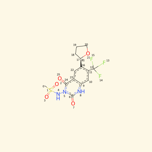 CS(=O)(=O)Nn1c(=O)[nH]c2cc(C(F)(F)F)c([C@H]3CCCO3)cc2c1=O